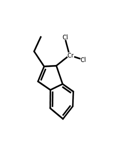 CCC1=Cc2ccccc2[CH]1[Cr]([Cl])[Cl]